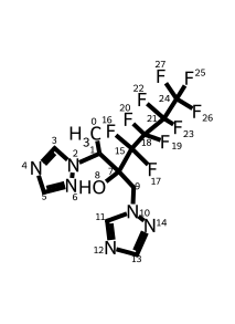 CC(n1cncn1)C(O)(Cn1cncn1)C(F)(F)C(F)(F)C(F)(F)C(F)(F)F